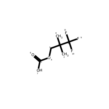 CC(C)(COC(=O)O)C(F)(F)F